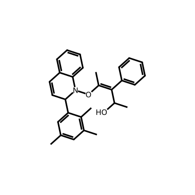 C/C(ON1c2ccccc2C=CC1c1cc(C)cc(C)c1C)=C(\c1ccccc1)C(C)O